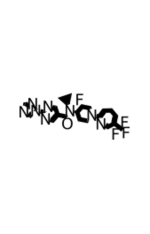 O=C(c1cnc(-n2cncn2)nc1)N(C1CC1)[C@@H]1CCN(C2=CCC=C(C(F)(F)F)C=N2)C[C@@H]1F